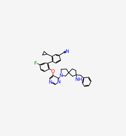 N#Cc1ccc(-c2cc(F)ccc2Oc2cncnc2N2CCC3(CCC(N)(Cc4ccccc4)C3)C2)c(C2CC2)c1